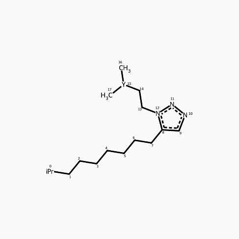 CC(C)CCCCCCCc1cnnn1C[CH2][Y]([CH3])[CH3]